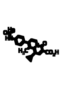 Cc1c(-c2ccc(N[SH](=O)=O)cc2)ccn2c(=O)c(C(=O)O)cc(C3CC3)c12